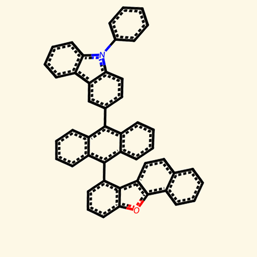 c1ccc(-n2c3ccccc3c3cc(-c4c5ccccc5c(-c5cccc6oc7c8ccccc8ccc7c56)c5ccccc45)ccc32)cc1